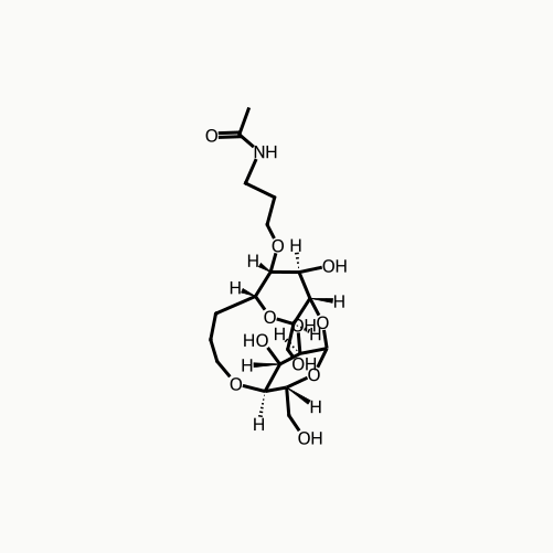 CC(=O)NCCCO[C@@H]1[C@@H](O)[C@@H]2OC3O[C@H](CO)[C@@H](OCCC[C@H]1O[C@@H]2CO)[C@H](O)[C@H]3O